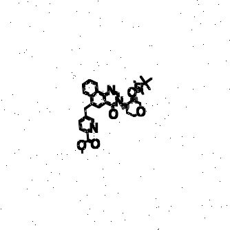 COC(=O)c1ccc(Cc2cc3c(=O)n([C@H]4CCOC[C@@H]4O[Si](C)(C)C(C)(C)C)cnc3c3ccccc23)cn1